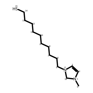 CN1C=CN(CCCCCCCCCCS)C1